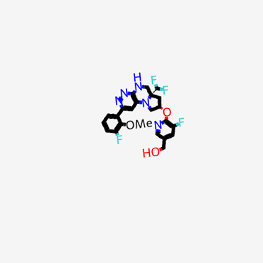 COc1c(F)cccc1-c1cc2c(nn1)NC[C@@]1(C(F)F)C[C@@H](Oc3ncc(CO)cc3F)CN21